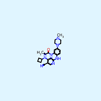 C=CC(=O)Nc1cc(N2CCN(C)CC2)ccc1Nc1cc(NC2CCC2)c(C#N)cn1